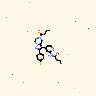 CCCC(=O)Nc1cc(-c2c(-c3ccc(F)cc3)nn3c2CN(C(=O)CCC)CC3)ccn1